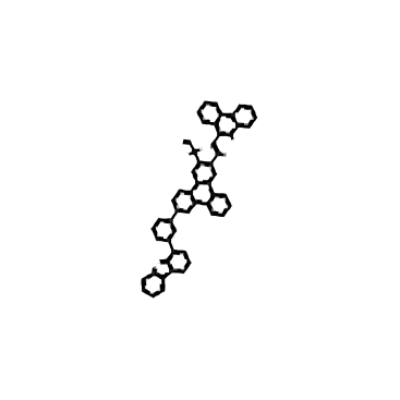 C=CC(C)(C)c1cc2c3ccc(-c4cccc(-c5cccc6c5sc5ccccc56)c4)cc3c3ccccc3c2cc1/C(C)=C/c1c(C)c2ccccc2c2ccccc12